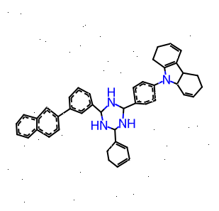 C1=CCCC(C2NC(c3ccc(N4C5=C(C=CCC5)C5CCC=CC54)cc3)NC(c3cccc(-c4ccc5ccccc5c4)c3)N2)=C1